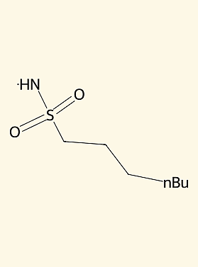 CCCCCCCS([NH])(=O)=O